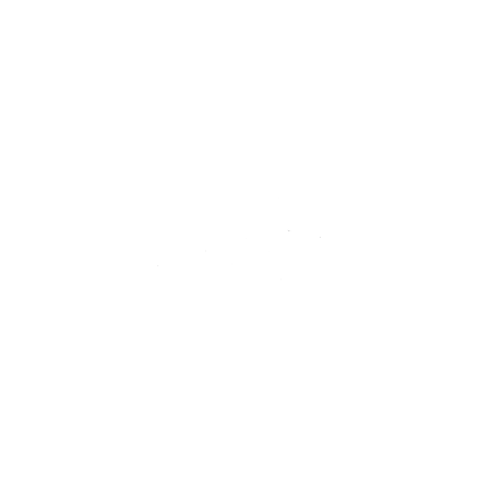 FCCCCC(F)C(F)F